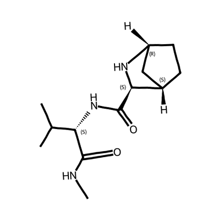 CNC(=O)[C@@H](NC(=O)[C@H]1N[C@@H]2CC[C@H]1C2)C(C)C